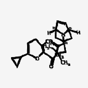 CC(=O)CN1[C@@H]2C=C[C@H]1C[C@H](CC(C)(C)C(=O)C1=C(C)CC=C(C3CC3)O1)C2